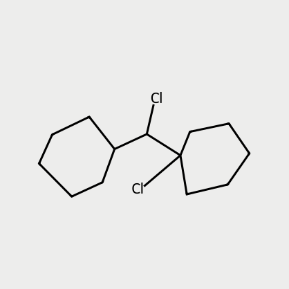 ClC(C1CCCCC1)C1(Cl)CCCCC1